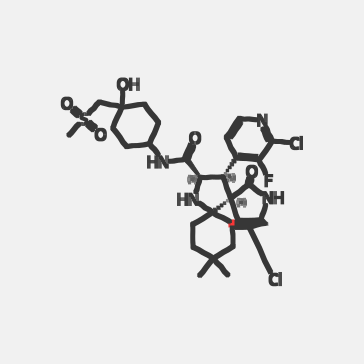 CC1(C)CCC2(CC1)N[C@@H](C(=O)NC1CCC(O)(CS(C)(=O)=O)CC1)[C@H](c1ccnc(Cl)c1F)[C@]21C(=O)Nc2cc(Cl)ccc21